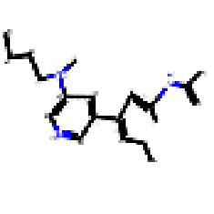 C=C(C)N/C(C)=C/C(=C\CC)c1cncc(N(C)CCCC)c1